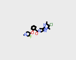 Cc1nc2c3c(nn2c(C)c1Cl)CN(C(=O)c1ccccc1OC1CCN(C)CC1F)C3